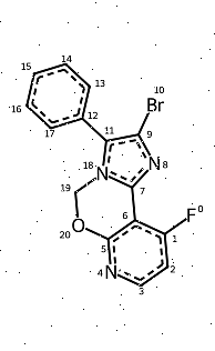 Fc1ccnc2c1-c1nc(Br)c(-c3ccccc3)n1CO2